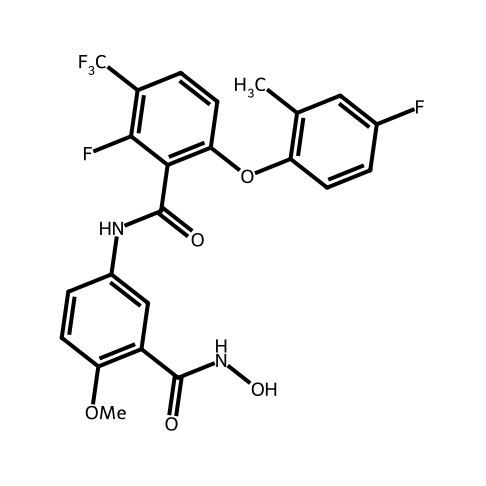 COc1ccc(NC(=O)c2c(Oc3ccc(F)cc3C)ccc(C(F)(F)F)c2F)cc1C(=O)NO